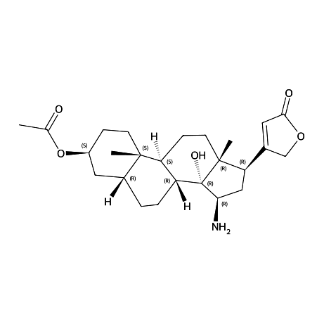 CC(=O)O[C@H]1CC[C@@]2(C)[C@H](CC[C@@H]3[C@@H]2CC[C@]2(C)[C@@H](C4=CC(=O)OC4)C[C@@H](N)[C@@]32O)C1